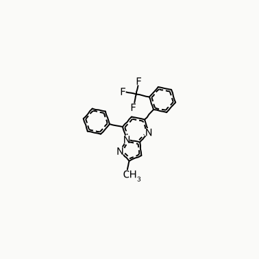 Cc1cc2nc(-c3ccccc3C(F)(F)F)cc(-c3ccccc3)n2n1